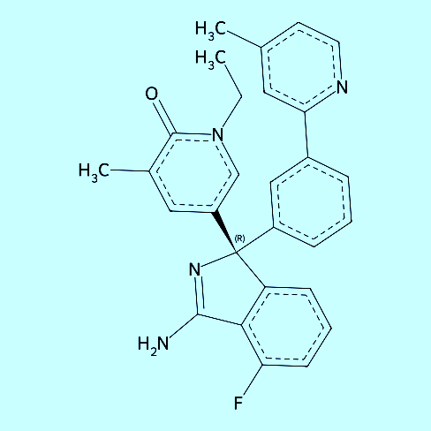 CCn1cc([C@]2(c3cccc(-c4cc(C)ccn4)c3)N=C(N)c3c(F)cccc32)cc(C)c1=O